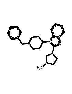 CN1CCC(c2nc3ccccc3n2C2CCN(Cc3ccccc3)CC2)C1